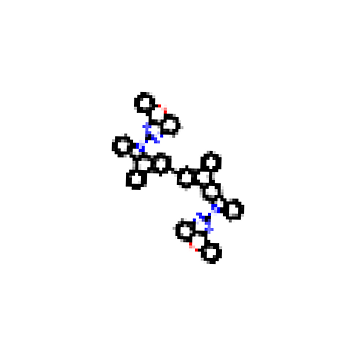 c1ccc2c(c1)Oc1cccc3nc(-n4c5ccccc5c5cc6c7ccccc7c7cc(-c8ccc9c(c8)c8ccccc8c8c%10ccccc%10n(-c%10nc%11c%12c(cccc%12n%10)Oc%10ccccc%10-%11)c98)ccc7c6cc54)nc-2c13